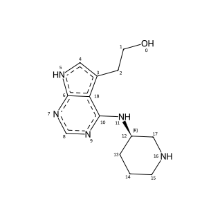 OCCc1c[nH]c2ncnc(N[C@@H]3CCCNC3)c12